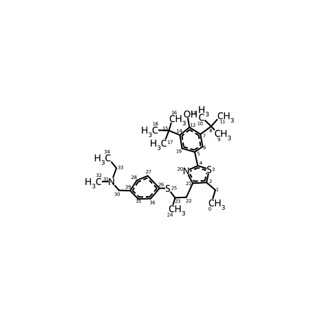 CCc1sc(-c2cc(C(C)(C)C)c(O)c(C(C)(C)C)c2)nc1CC(C)Sc1ccc(CN(C)CC)cc1